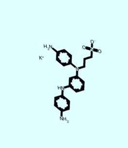 Nc1ccc(Nc2cccc(N(CCCS(=O)(=O)[O-])c3ccc(N)cc3)c2)cc1.[K+]